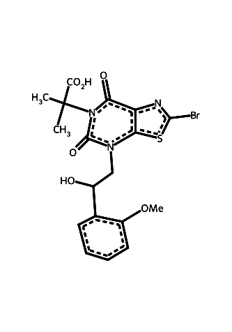 COc1ccccc1C(O)Cn1c(=O)n(C(C)(C)C(=O)O)c(=O)c2nc(Br)sc21